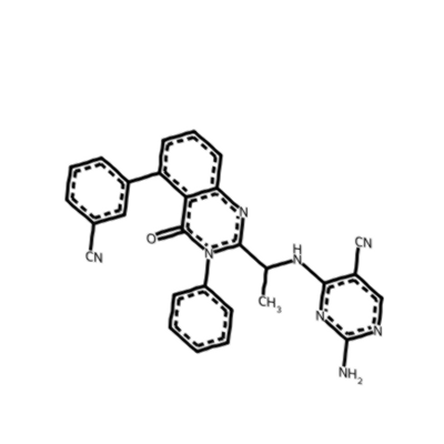 CC(Nc1nc(N)ncc1C#N)c1nc2cccc(-c3cccc(C#N)c3)c2c(=O)n1-c1ccccc1